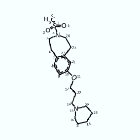 CS(=O)(=O)N1CCc2ccc(OCCCN3CCCCC3)cc2CC1